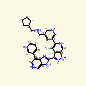 Fc1c(-c2cncc(CNCC3CCCC3)c2)ncc2[nH]nc(-c3nc4c(-c5cccnc5)cncc4[nH]3)c12